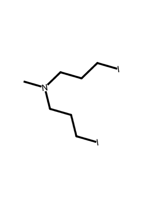 CN(CCCI)CCCI